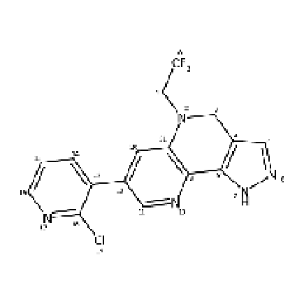 FC(F)(F)CN1Cc2cn[nH]c2-c2ncc(-c3cccnc3Cl)cc21